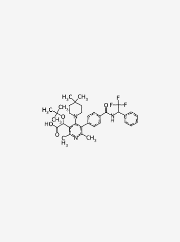 Cc1nc(C)c(C(OC(C)(C)C)C(=O)O)c(N2CCC(C)(C)CC2)c1-c1ccc(C(=O)NC(c2ccccc2)C(F)(F)F)cc1